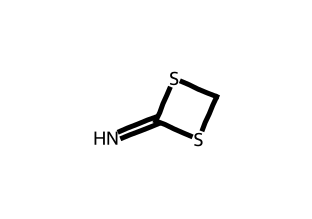 N=C1SCS1